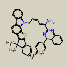 C=C/C=C\C(=C/C)C1N=C(/C(N)=C/C=C\Cn2c3ccccc3c3ccc4c5c(sc4c32)C2=C(CCC=C2)C5(C)C)N=C2C=CC=CC21